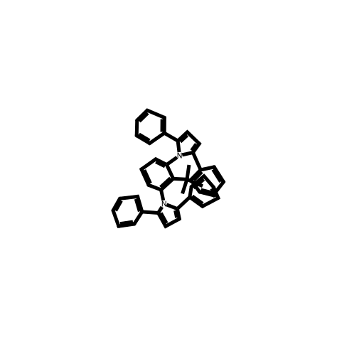 CC(C)(C)c1c(-n2c(-c3ccccc3)ccc2-c2ccccc2)cccc1-n1c(-c2ccccc2)ccc1-c1ccccc1